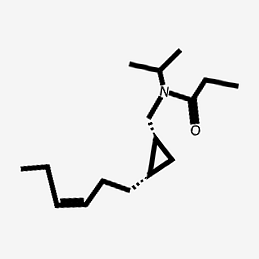 CC/C=C\CC[C@H]1C[C@H]1CN(C(=O)CC)C(C)C